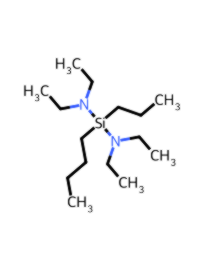 CCCC[Si](CCC)(N(CC)CC)N(CC)CC